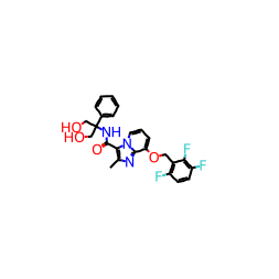 Cc1nc2c(OCc3c(F)ccc(F)c3F)cccn2c1C(=O)NC(CO)(CO)c1ccccc1